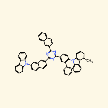 CC1CC=Cc2c1c1ccccc1n2-c1ccc(-c2nc(-c3ccc4ccccc4c3)nc(-c3ccc4ccc(-n5c6ccccc6c6ccccc65)cc4c3)n2)cc1-c1ccccc1